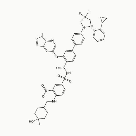 CC1(O)CCC(CNc2ccc(S(=O)(=O)NC(=O)c3ccc(-c4ccc(N5CC(F)(F)C[C@@H]5c5ccccc5C5CC5)cc4)cc3Oc3cnc4[nH]ccc4c3)cc2[N+](=O)[O-])CC1